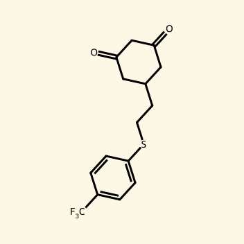 O=C1CC(=O)CC(CCSc2ccc(C(F)(F)F)cc2)C1